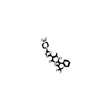 Cc1[nH]c2c(-c3ccccc3)c(C(F)(F)F)nn2c(=O)c1-c1nnc(N2CCS(=O)(=O)CC2)o1